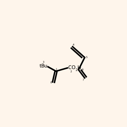 C=C(C(=O)O)C(C)(C)C.C=CC=C